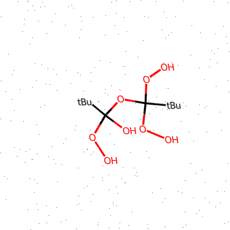 CC(C)(C)C(O)(OO)OC(OO)(OO)C(C)(C)C